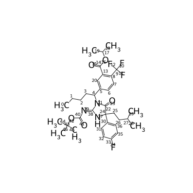 CCCCC(c1ccc(C(F)(F)F)c(C(=O)OC(C)C)c1)N1C(=O)C(CCC(C)C)(c2ccc(F)cc2)NC1=NC(=O)OC(C)(C)C